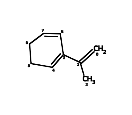 C=C(C)C1=CCCC=C1